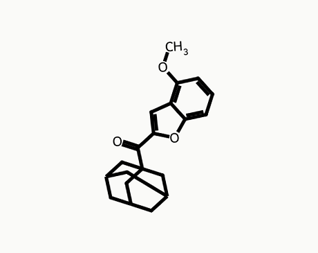 COc1cccc2oc(C(=O)C34CC5CC(CC(C5)C3)C4)cc12